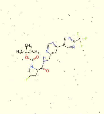 CC(C)(C)OC(=O)N1C[C@H](F)C[C@@H]1C(=O)NCc1cc(-c2cnc(C(F)(F)F)nc2)ncn1